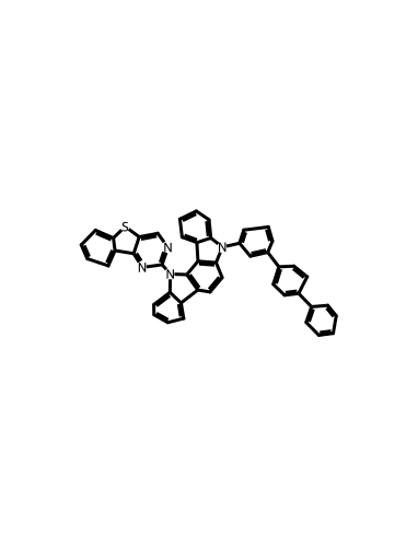 c1ccc(-c2ccc(-c3cccc(-n4c5ccccc5c5c4ccc4c6ccccc6n(-c6ncc7sc8ccccc8c7n6)c45)c3)cc2)cc1